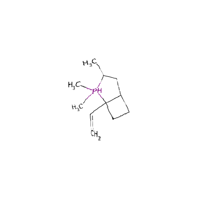 C=CC12CCC1CC(C)[PH]2(C)C